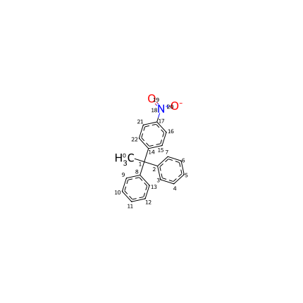 CC(c1ccccc1)(c1ccccc1)c1ccc([N+](=O)[O-])cc1